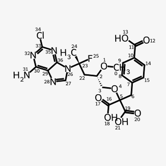 CO[C@H](COC(Cc1ccc(C(=O)O)cc1)(C(=O)O)C(=O)O)C[C@@](C)(F)n1cnc2c(N)nc(Cl)nc21